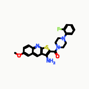 COc1ccc2nc3sc(C(=O)N4CCN(c5ccccc5F)CC4)c(N)c3cc2c1